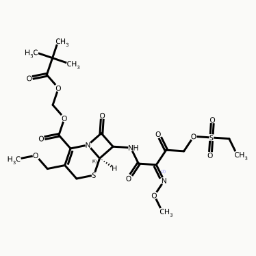 CCS(=O)(=O)OCC(=O)/C(=N/OC)C(=O)NC1C(=O)N2C(C(=O)OCOC(=O)C(C)(C)C)=C(COC)CS[C@H]12